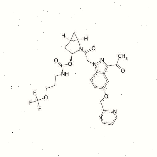 CC(=O)c1nn(CC(=O)N2[C@@H](OC(=O)NCCCOC(F)(F)F)C[C@H]3C[C@H]32)c2ccc(OCc3ncccn3)cc12